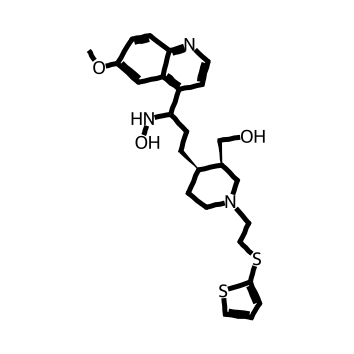 COc1ccc2nccc(C(CC[C@@H]3CCN(CCSc4cccs4)C[C@@H]3CO)NO)c2c1